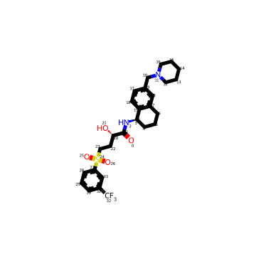 O=C(N[C@@H]1CCCc2cc(CN3CCCCC3)ccc21)[C@@H](O)CCS(=O)(=O)c1cccc(C(F)(F)F)c1